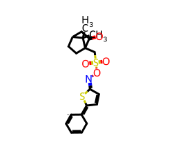 CC1(C)C2CCC1(CS(=O)(=O)ON=C1C=CC(=C3[C]=CC=CC3)S1)C(=O)C2